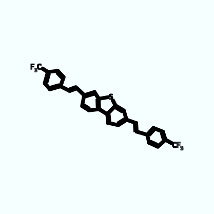 FC(F)(F)c1ccc(/C=C/c2ccc3c(c2)sc2cc(/C=C/c4ccc(C(F)(F)F)cc4)ccc23)cc1